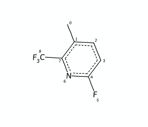 Cc1ccc(F)nc1C(F)(F)F